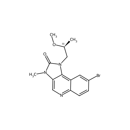 CO[C@@H](C)Cn1c(=O)n(C)c2cnc3ccc(Br)cc3c21